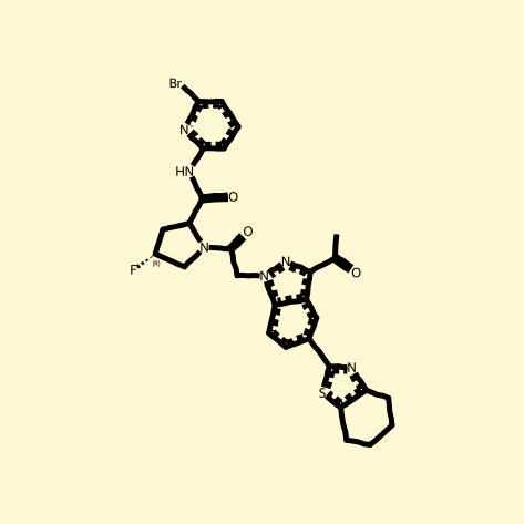 CC(=O)c1nn(CC(=O)N2C[C@H](F)CC2C(=O)Nc2cccc(Br)n2)c2ccc(-c3nc4c(s3)CCCC4)cc12